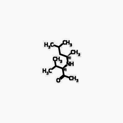 CC(=O)[C@H](N[C@@H](C)CC(C)C)C(C)C